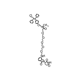 CN(CCOc1ccc(/C(=C(/CCCl)c2ccccc2)c2ccccc2)cc1)C(=O)CCOCCOCCOCCOCCOCCNc1cccc2c1CN(C1CCC(=O)NC1=O)C2=O